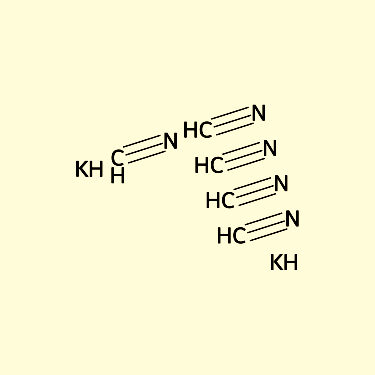 C#N.C#N.C#N.C#N.C#N.[KH].[KH]